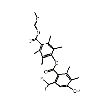 COCOC(=O)c1c(C)c(C)c(OC(=O)c2c(C(F)F)cc(O)c(C)c2C)c(C)c1C